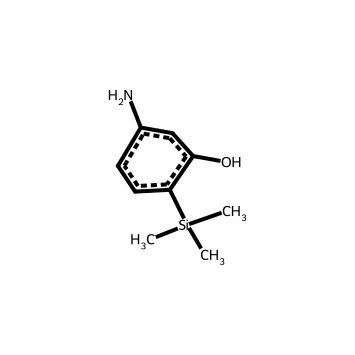 C[Si](C)(C)c1ccc(N)cc1O